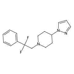 FC(F)(CN1CCC(n2cccn2)CC1)c1ccccc1